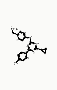 O=C(O)Cc1ccc(Oc2nc(-c3ccc(Cl)cc3)nc(C3CC3)n2)cc1